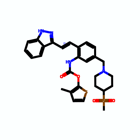 Cc1ccsc1OC(=O)Nc1cc(CN2CCC(S(C)(=O)=O)CC2)ccc1/C=C/c1n[nH]c2ccccc12